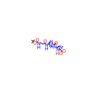 Cn1cc(NC(=O)c2nc(NC(=O)CCNC(=O)OC(C)(C)C)cn2C)nc1C(=O)O